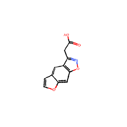 O=C(O)Cc1noc2cc3occc3cc12